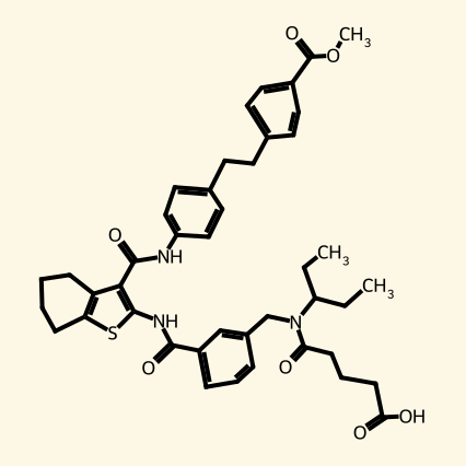 CCC(CC)N(Cc1cccc(C(=O)Nc2sc3c(c2C(=O)Nc2ccc(CCc4ccc(C(=O)OC)cc4)cc2)CCCC3)c1)C(=O)CCCC(=O)O